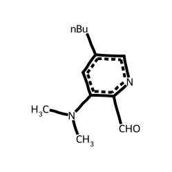 CCCCc1cnc(C=O)c(N(C)C)c1